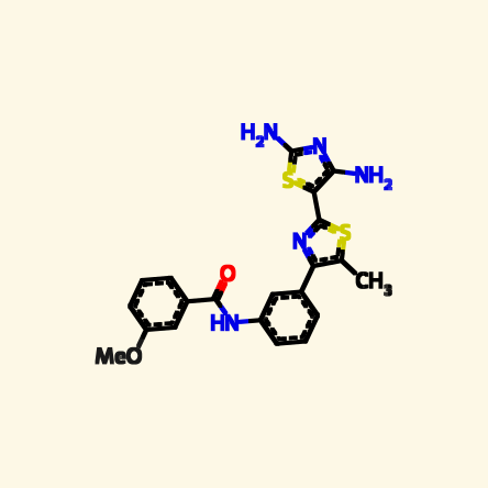 COc1cccc(C(=O)Nc2cccc(-c3nc(-c4sc(N)nc4N)sc3C)c2)c1